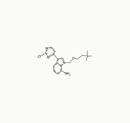 CS(C)(C)CCOCn1cc(-c2ccnc(Cl)n2)c2cccc(N)c21